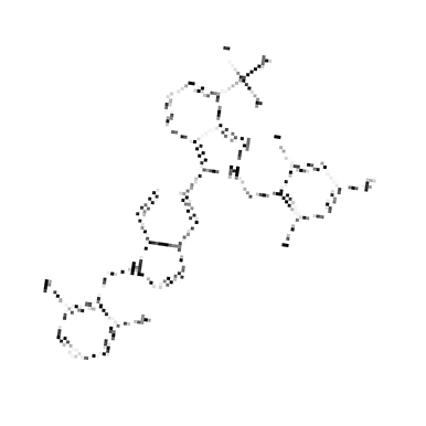 Fc1cc(F)c(Cn2nc3c(C(F)(F)F)cccc3c2-c2ccc3c(ccn3Cc3c(F)cccc3F)c2)c(F)c1